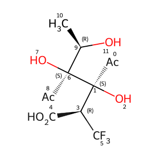 CC(=O)[C@](O)([C@H](C(=O)O)C(F)(F)F)[C@](O)(C(C)=O)[C@@H](C)O